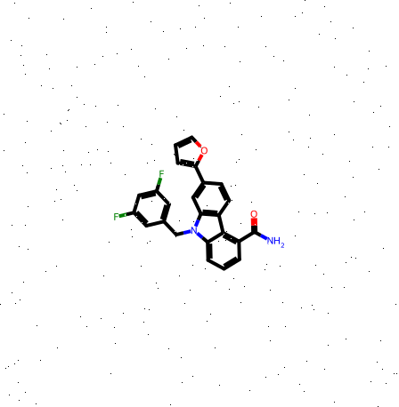 NC(=O)c1cccc2c1c1[c]cc(-c3ccco3)cc1n2Cc1cc(F)cc(F)c1